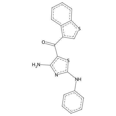 Nc1nc(Nc2ccccc2)sc1C(=O)c1csc2ccccc12